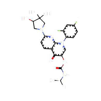 CC[C@@H](NC(=O)Oc1cn(-c2ccc(F)cc2F)c2nc(N3CC(O)C(C)(C)C3)ccc2c1=O)C(F)(F)F